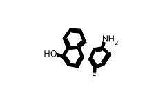 Nc1ccc(F)cc1.Oc1cccc2ccccc12